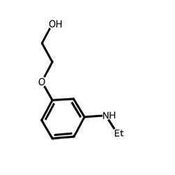 CCNc1cccc(OCCO)c1